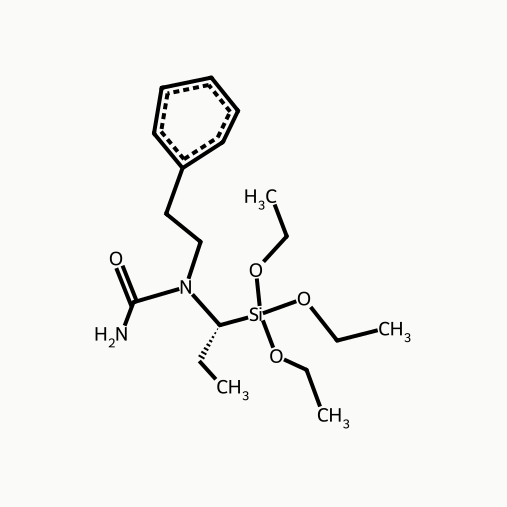 CCO[Si](OCC)(OCC)[C@H](CC)N(CCc1ccccc1)C(N)=O